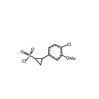 COc1cc(C2CC2S(=O)(=O)Cl)ccc1Cl